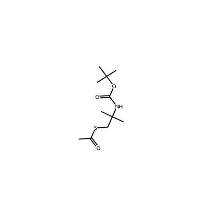 CC(=O)SCC(C)(C)NC(=O)OC(C)(C)C